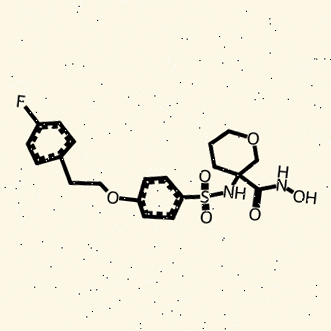 O=C(NO)C1(NS(=O)(=O)c2ccc(OCCc3ccc(F)cc3)cc2)CCCOC1